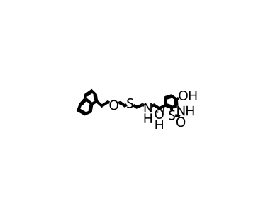 O=c1[nH]c2c(O)ccc([C@@H](O)CNCCSCCOCCc3cccc4ccccc34)c2s1